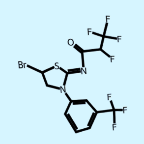 O=C(N=C1SC(Br)CN1c1cccc(C(F)(F)F)c1)C(F)C(F)(F)F